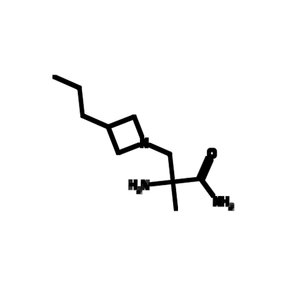 CCCC1CN(CC(C)(N)C(N)=O)C1